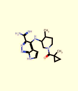 CC1CCN(C(=O)C2(C)CC2)CC1Nc1c(C(=N)N)nnc2[nH]ccc12